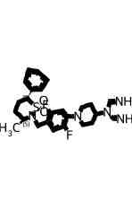 C[C@H]1CC[C@H](c2ccccc2)S(=O)(=O)N1Cc1cc(F)c(N2CCC(N(C=N)C=N)CC2)cc1F